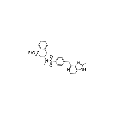 CCOC(=O)CC(Cc1ccccc1)N(C)S(=O)(=O)c1ccc(Cc2nccc3[nH]c(C)nc23)cc1